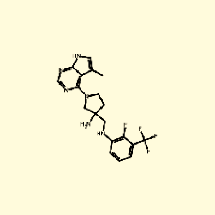 Cc1c[nH]c2ncnc(N3CCC(N)(CNc4cccc(C(F)(F)F)c4F)C3)c12